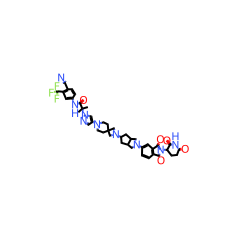 CC(C)(C(=O)Nc1ccc(C#N)c(C(F)(F)F)c1)n1cc(N2CCC3(CC2)CN(C2CC4CN(c5ccc6c(c5)C(=O)N(C5CCC(=O)NC5=O)C6=O)CC4C2)C3)cn1